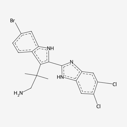 CC(C)(CN)c1c(-c2nc3cc(Cl)c(Cl)cc3[nH]2)[nH]c2cc(Br)ccc12